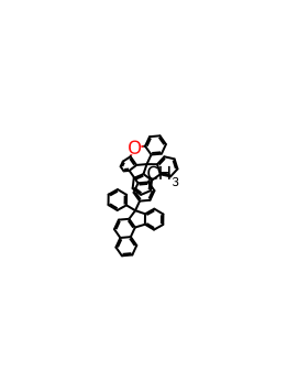 Cc1ccc(C2(c3ccccc3)c3ccccc3-c3c2ccc2ccccc32)cc1-c1cccc2c1C1(c3ccccc3O2)c2ccccc2-c2ccccc21